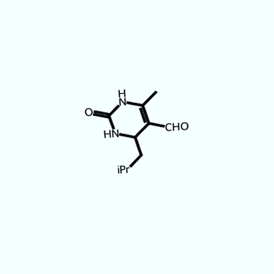 CC1=C(C=O)C(CC(C)C)NC(=O)N1